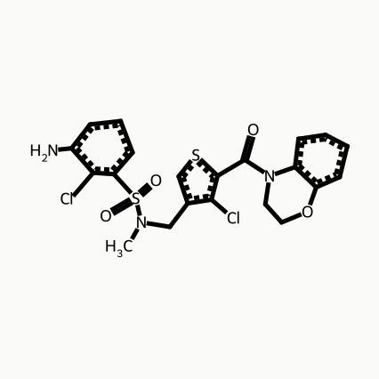 CN(Cc1csc(C(=O)N2CCOc3ccccc32)c1Cl)S(=O)(=O)c1cccc(N)c1Cl